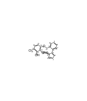 CC(C)n1nccc1-c1ncccc1COc1ccc(Cl)c(O)c1C=O